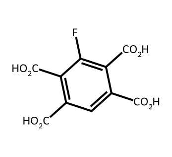 O=C(O)c1cc(C(=O)O)c(C(=O)O)c(F)c1C(=O)O